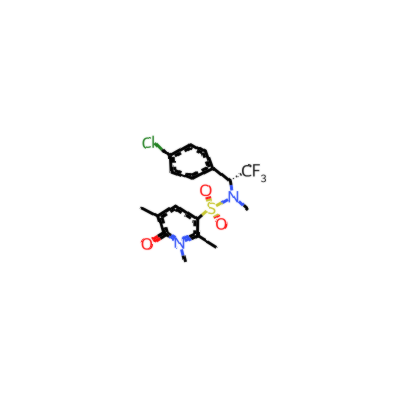 Cc1cc(S(=O)(=O)N(C)[C@H](c2ccc(Cl)cc2)C(F)(F)F)c(C)n(C)c1=O